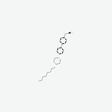 CCCCCCCC[C@H]1CC[C@H](c2ccc(-c3ccc(CC#N)cc3)cc2)CC1